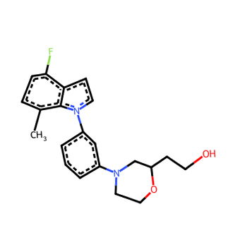 Cc1ccc(F)c2ccn(-c3cccc(N4CCOC(CCO)C4)c3)c12